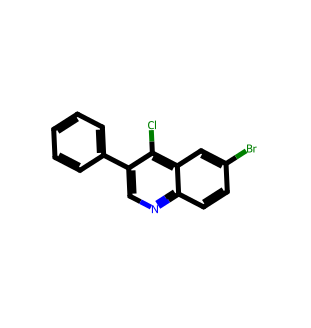 Clc1c(-c2ccccc2)cnc2ccc(Br)cc12